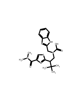 CN(C)C(=O)c1csc(C(CN(Cc2nc3ccccc3[nH]2)C(=O)O)C(C)(C)C)n1